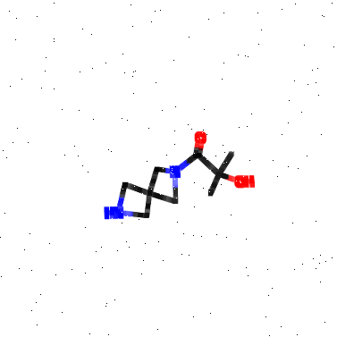 CC(C)(O)C(=O)N1CC2(CNC2)C1